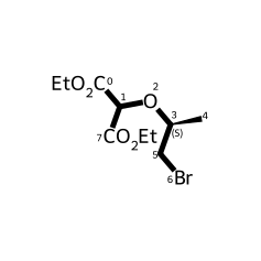 CCOC(=O)C(O[C@@H](C)CBr)C(=O)OCC